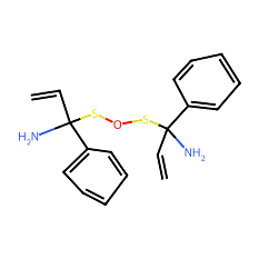 C=CC(N)(SOSC(N)(C=C)c1ccccc1)c1ccccc1